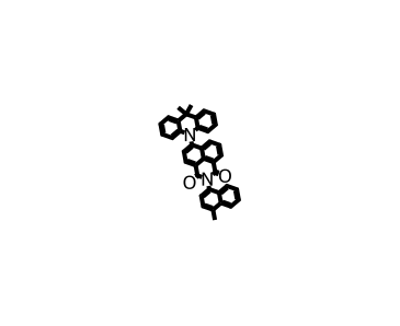 Cc1ccc(N2C(=O)c3cccc4c(N5c6ccccc6C(C)(C)c6ccccc65)ccc(c34)C2=O)c2ccccc12